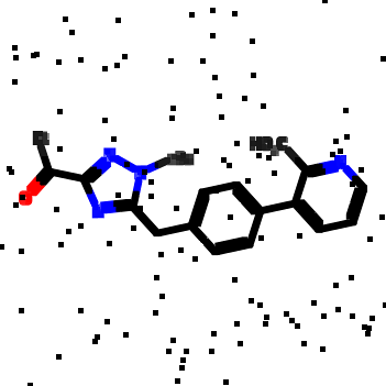 CCCCn1nc(C(=O)CC)nc1Cc1ccc(-c2cccnc2C(=O)O)cc1